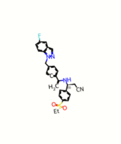 C=C(N[C@@H](CC#N)c1ccc(S(=O)(=O)CC)cc1)c1ccc(Cn2ncc3cc(F)ccc32)cc1